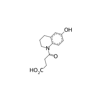 O=C(O)CCC(=O)N1CCCc2cc(O)ccc21